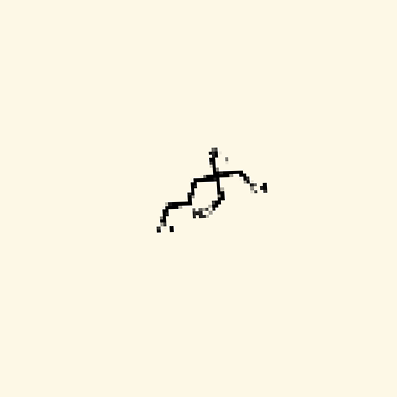 NC(CO)(CO)CCCO